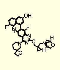 CCc1c(F)ccc2cc(O)cc(-c3c(F)cc4c(N5CCCC6(CCO6)C5)nc(OCC5(CN6C[C@H]7C[C@@H]6CO7)CC5)nc4c3F)c12